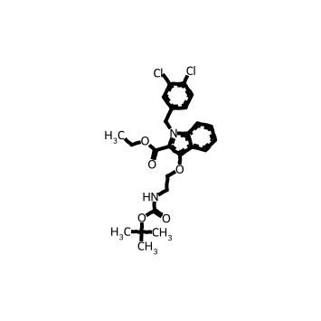 CCOC(=O)c1c(OCCNC(=O)OC(C)(C)C)c2ccccc2n1Cc1ccc(Cl)c(Cl)c1